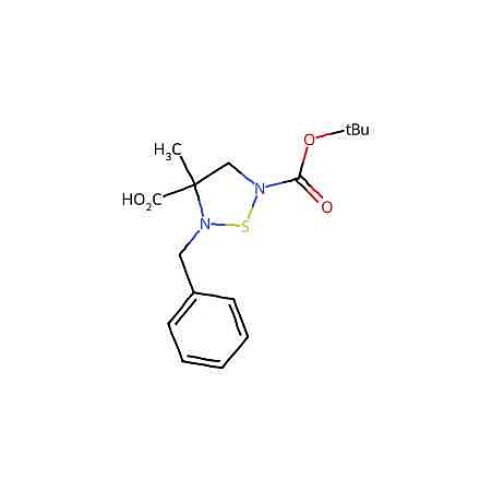 CC(C)(C)OC(=O)N1CC(C)(C(=O)O)N(Cc2ccccc2)S1